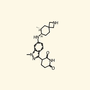 C[C@@H]1CC2(CC[C@H]1Nc1ccc3c(C4CCC(=O)NC4=O)nn(C)c3c1)CNC2